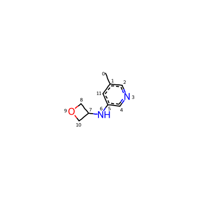 Cc1cncc(NC2COC2)c1